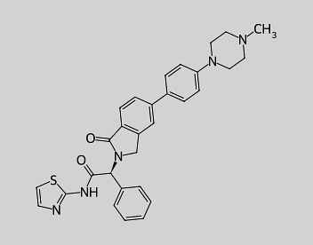 CN1CCN(c2ccc(-c3ccc4c(c3)CN([C@H](C(=O)Nc3nccs3)c3ccccc3)C4=O)cc2)CC1